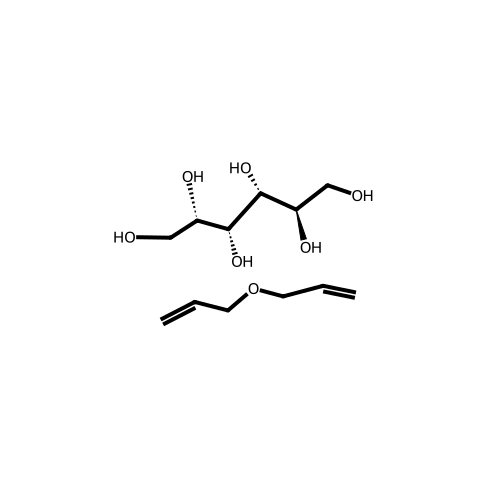 C=CCOCC=C.OC[C@@H](O)[C@@H](O)[C@H](O)[C@@H](O)CO